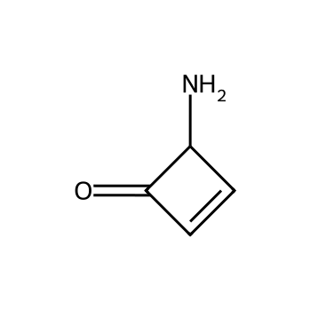 NC1C=CC1=O